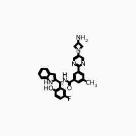 Cc1cc(C(=O)N[C@@H](c2cc3ccccc3[nH]2)c2cc(F)ccc2O)cc(-c2ncc(N3CC(N)C3)cn2)c1